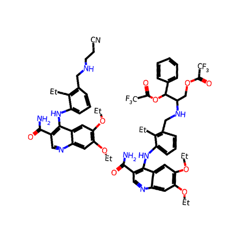 CCOc1cc2ncc(C(N)=O)c(Nc3cccc(CNC(COC(=O)C(F)(F)F)C(OC(=O)C(F)(F)F)c4ccccc4)c3CC)c2cc1OCC.CCOc1cc2ncc(C(N)=O)c(Nc3cccc(CNCCC#N)c3CC)c2cc1OCC